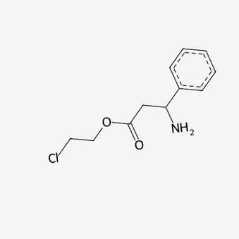 NC(CC(=O)OCCCl)c1ccccc1